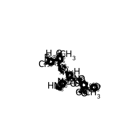 CN(c1ccc(S(=O)(=O)NC(=O)c2ccc(N3CCN(CC4=C(c5ccc(Cl)c(F)c5)CC(C)(C)CC4)CC3)cc2Oc2cnc3[nH]ccc3c2)cc1[N+](=O)[O-])C1CCOCC1